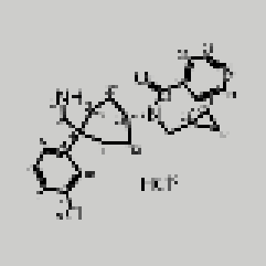 Cl.NC[C@]1(c2cccc(Cl)c2)CC[C@@H](N(CC2CC2)C(=O)c2ccncc2)CC1